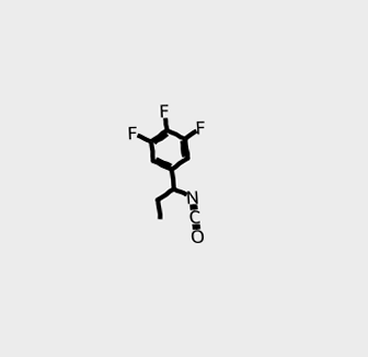 CCC(N=C=O)c1cc(F)c(F)c(F)c1